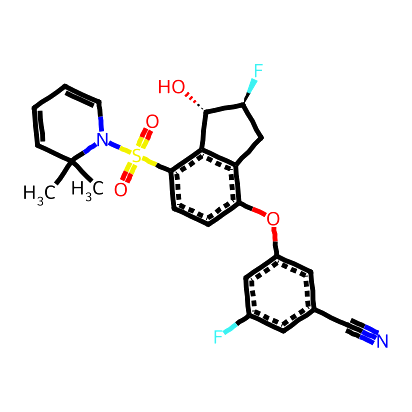 CC1(C)C=CC=CN1S(=O)(=O)c1ccc(Oc2cc(F)cc(C#N)c2)c2c1[C@H](O)[C@@H](F)C2